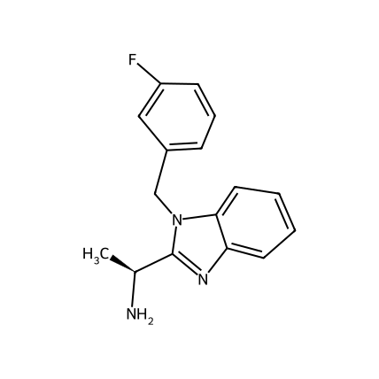 C[C@H](N)c1nc2ccccc2n1Cc1cccc(F)c1